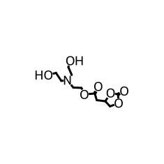 O=C(CC1COC(=O)O1)OCCN(CCO)CCO